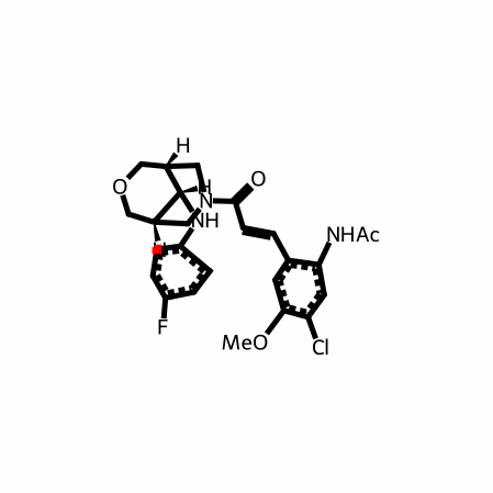 COc1cc(/C=C/C(=O)N2C[C@H]3COC[C@@H](C2)[C@H]3Nc2ccc(F)cc2)c(NC(C)=O)cc1Cl